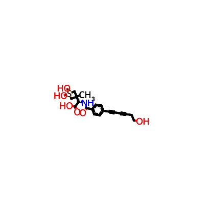 CC1([C@H](NC(=O)c2ccc(C#CC#CCCO)cc2)C(=O)O)CS(O)(O)C1